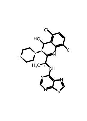 C[C@H](Nc1ncnc2scnc12)C1=Nc2c(Cl)ccc(Cl)c2C(O)N1N1CCNCC1